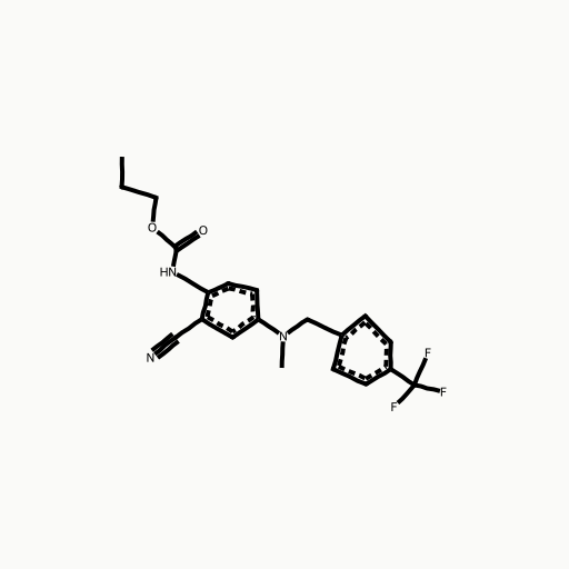 CCCOC(=O)Nc1ccc(N(C)Cc2ccc(C(F)(F)F)cc2)cc1C#N